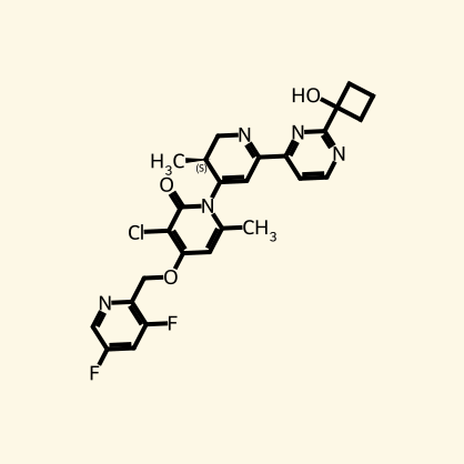 Cc1cc(OCc2ncc(F)cc2F)c(Cl)c(=O)n1C1=CC(c2ccnc(C3(O)CCC3)n2)=NC[C@@H]1C